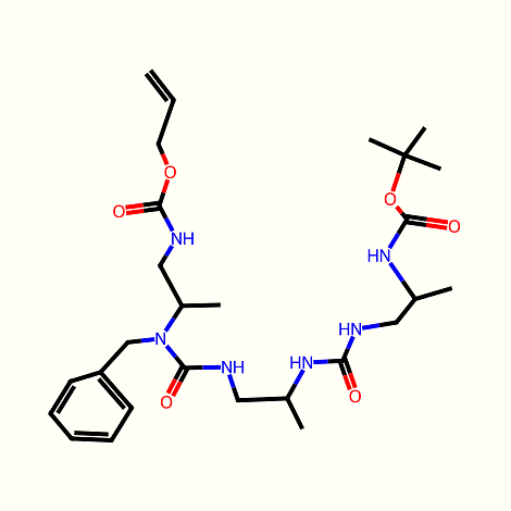 C=CCOC(=O)NCC(C)N(Cc1ccccc1)C(=O)NCC(C)NC(=O)NCC(C)NC(=O)OC(C)(C)C